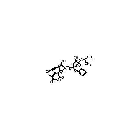 CC(C)OC(=O)[C@H](C)OP(=O)(OC[C@H]1O[C@@H](n2cc(F)c(=O)[nH]c2=O)C(F)(C#CCl)[C@H]1O)Oc1ccccc1